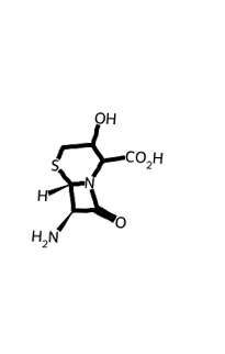 N[C@@H]1C(=O)N2C(C(=O)O)C(O)CS[C@@H]12